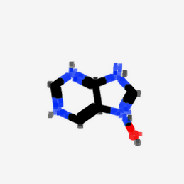 [O-][n+]1c[nH]c2ncncc21